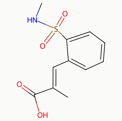 CNS(=O)(=O)c1ccccc1C=C(C)C(=O)O